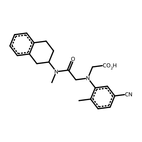 Cc1ccc(C#N)cc1N(CC(=O)O)CC(=O)N(C)C1CCc2ccccc2C1